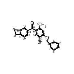 Cc1cc(OCc2ccccc2)c(Br)cc1C(=O)c1ccc2c(c1)CC2